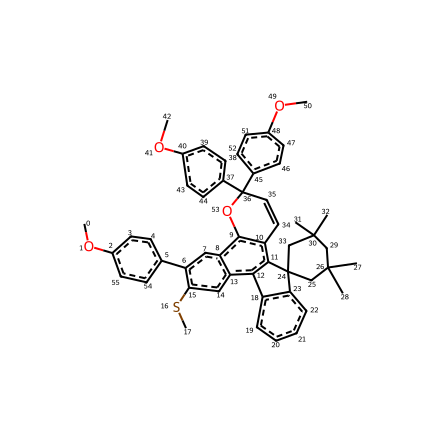 COc1ccc(-c2cc3c4c(c5c(c3cc2SC)-c2ccccc2C52CC(C)(C)CC(C)(C)C2)C=CC(c2ccc(OC)cc2)(c2ccc(OC)cc2)O4)cc1